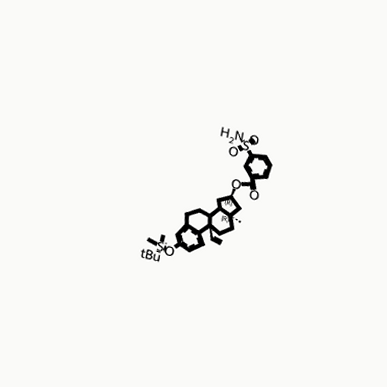 C=C[C@]12CC[C@]3(C)C[C@H](OC(=O)c4cccc(S(N)(=O)=O)c4)CC3C1CCc1cc(O[Si](C)(C)C(C)(C)C)ccc12